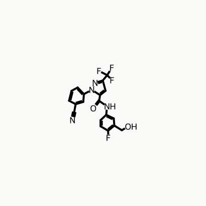 N#Cc1cccc(-n2nc(C(F)(F)F)cc2C(=O)Nc2ccc(F)c(CO)c2)c1